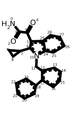 NC(=O)C(=O)c1c(C2CC2)n(Cc2ccccc2-c2ccccc2)c2ccc[c]c12